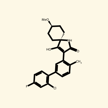 CO[C@H]1CC[C@]2(CC1)NC(=O)C(c1cc(-c3ccc(F)cc3Cl)ccc1C)=C2O